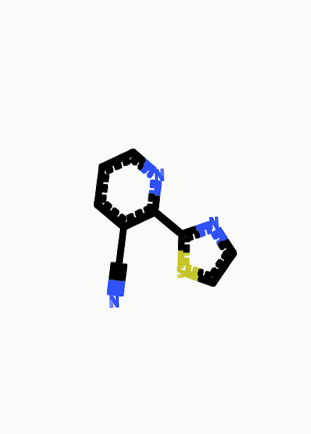 N#Cc1cccnc1-c1nccs1